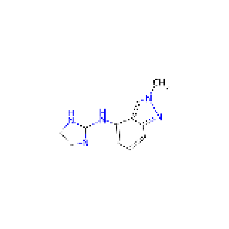 Cn1cc2c(NC3=NCCN3)cccc2n1